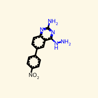 NNc1nc(N)nc2ccc(-c3ccc([N+](=O)[O-])cc3)cc12